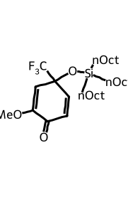 CCCCCCCC[Si](CCCCCCCC)(CCCCCCCC)OC1(C(F)(F)F)C=CC(=O)C(OC)=C1